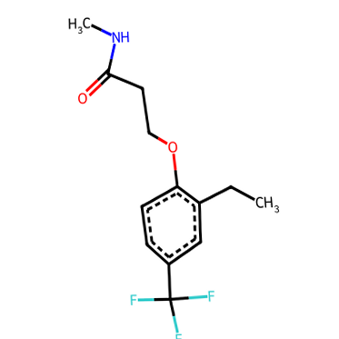 CCc1cc(C(F)(F)F)ccc1OCCC(=O)NC